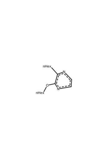 [CH2]CCCCCc1nccnc1OCCCCCC